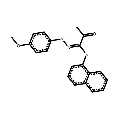 COc1ccc(NN=C(Sc2cccc3ccccc23)C(C)=O)cc1